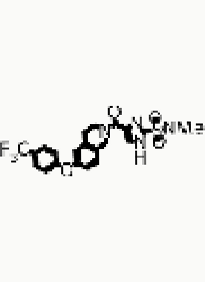 CNS(=O)(=O)c1nc(C(=O)N2CCc3cc(Oc4ccc(C(F)(F)F)cc4)ccc3C2)c[nH]1